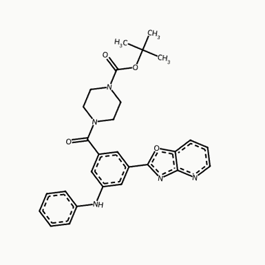 CC(C)(C)OC(=O)N1CCN(C(=O)c2cc(Nc3ccccc3)cc(-c3nc4ncccc4o3)c2)CC1